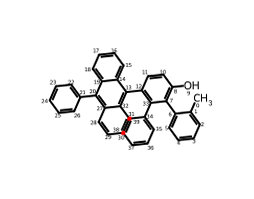 Cc1ccccc1-c1c(O)ccc(-c2c3ccccc3c(-c3ccccc3)c3ccccc23)c1-c1ccccc1